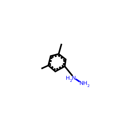 Cc1cc(C)cc(C)c1.NN